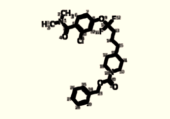 CN(C)C(=O)c1ccc(OC(F)(F)CCCC2CCN(C(=O)OCc3ccccc3)CC2)cc1Cl